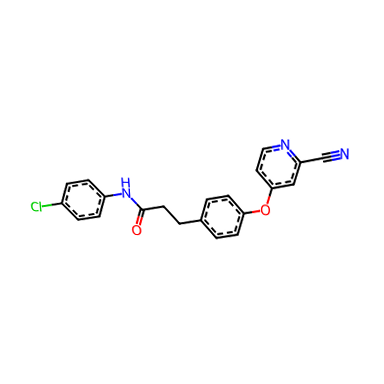 N#Cc1cc(Oc2ccc(CCC(=O)Nc3ccc(Cl)cc3)cc2)ccn1